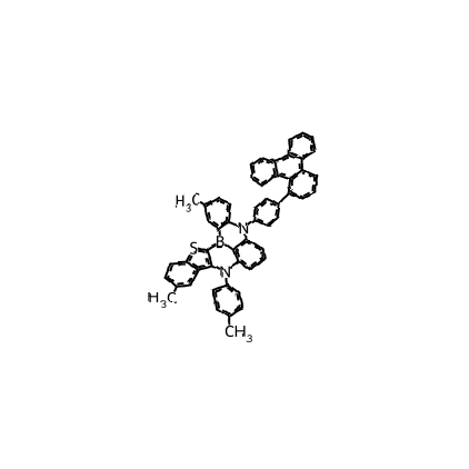 Cc1ccc(N2c3cccc4c3B(c3cc(C)ccc3N4c3ccc(-c4cccc5c6ccccc6c6ccccc6c45)cc3)c3sc4ccc(C)cc4c32)cc1